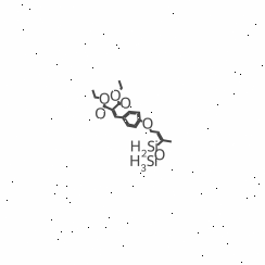 CCOC(=O)C(=Cc1ccc(OCC=C(C)[SiH2]O[SiH3])cc1)C(=O)OCC